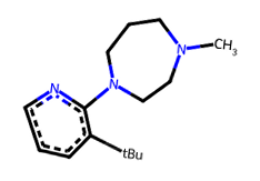 CN1CCCN(c2ncccc2C(C)(C)C)CC1